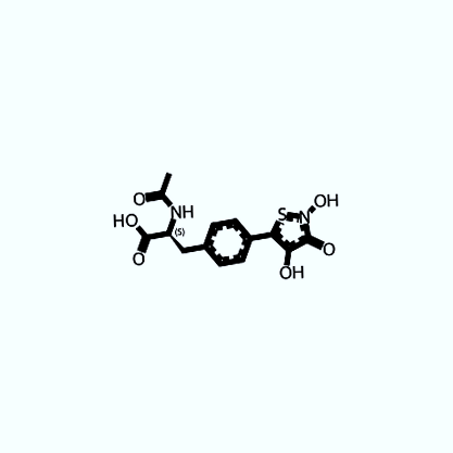 CC(=O)N[C@@H](Cc1ccc(-c2sn(O)c(=O)c2O)cc1)C(=O)O